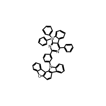 c1ccc(-c2nc(-c3cccc(-n4c5ccccc5c5ccc6oc7ccccc7c6c54)c3)nc3c2-c2ccccc2[Si]3(c2ccccc2)c2ccccc2)cc1